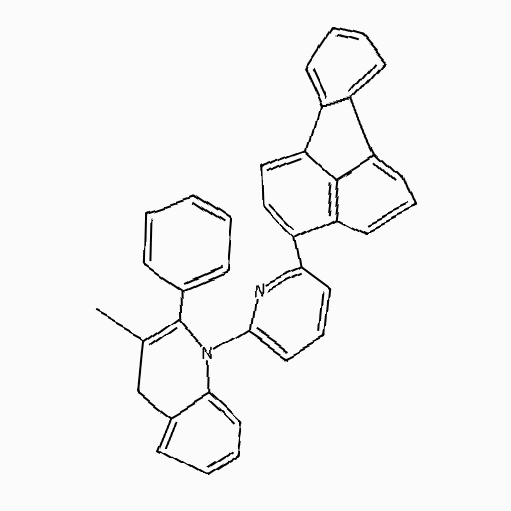 CC1=C(c2ccccc2)N(c2cccc(-c3ccc4c5c(cccc35)-c3ccccc3-4)n2)c2ccccc2C1